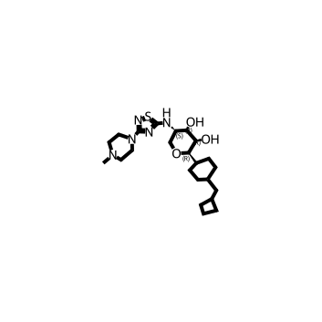 CN1CCN(c2nsc(N[C@H]3CO[C@H](C4CCC(CC5CCC5)CC4)[C@H](O)[C@@H]3O)n2)CC1